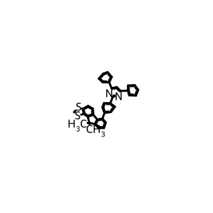 CC1(C)c2cccc(-c3ccc(-c4nc(-c5ccccc5)cc(-c5ccccc5)n4)cc3)c2-c2ccc3c(c21)SCS3